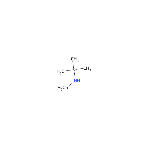 C[Si](C)(C)[NH][GaH2]